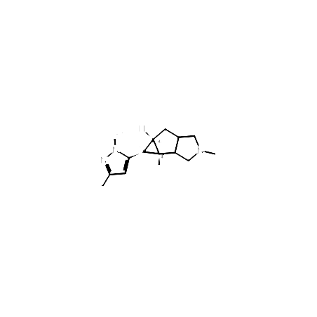 CC(C)n1nc(I)cc1[C@H]1[C@@H]2CC3CN(C)CC3[C@@H]21